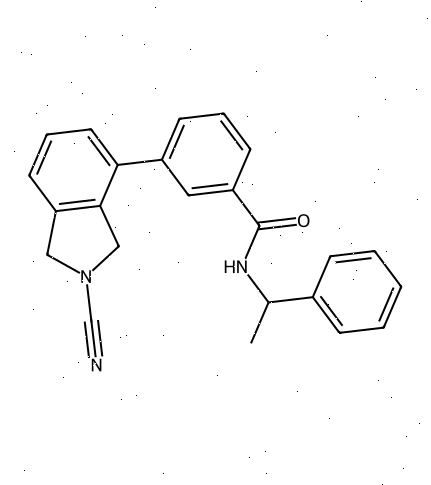 CC(NC(=O)c1cccc(-c2cccc3c2CN(C#N)C3)c1)c1ccccc1